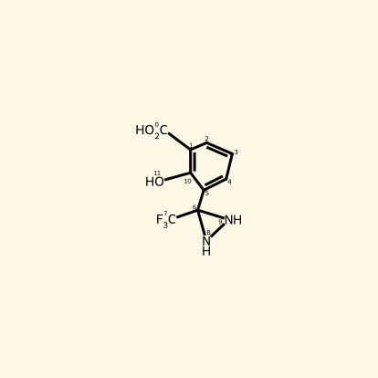 O=C(O)c1cccc(C2(C(F)(F)F)NN2)c1O